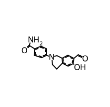 NC(=O)c1ccc(N2CCc3cc(O)c(C=O)cc3C2)cc1